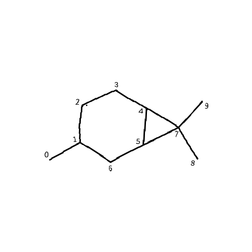 CC1[CH]CC2C(C1)C2(C)C